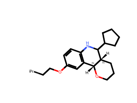 CC(C)CCOc1ccc2c(c1)[C@H]1OCCC[C@H]1C(C1CCCC1)N2